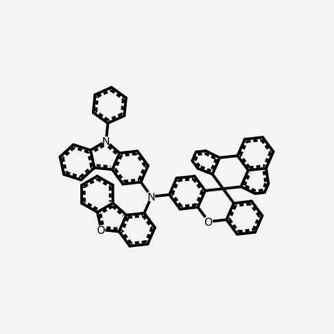 c1ccc(-n2c3ccccc3c3cc(N(c4ccc5c(c4)Oc4ccccc4C54c5ccccc5-c5cccc6cccc4c56)c4cccc5oc6ccccc6c45)ccc32)cc1